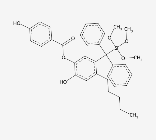 CCCCCc1cc(O)c(OC(=O)c2ccc(O)cc2)cc1C(c1ccccc1)(c1ccccc1)[Si](OC)(OC)OC